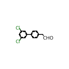 O=CCc1ccc(-c2cc(Cl)cc(Cl)c2)cc1